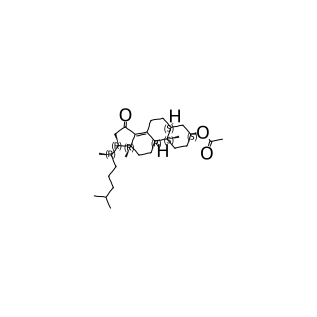 CC(=O)O[C@H]1CC[C@@]2(C)[C@@H](CCC3=C4C(=O)C[C@H]([C@H](C)CCCC(C)C)[C@@]4(C)CC[C@@H]32)C1